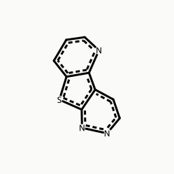 c1cnc2c(c1)sc1nnccc12